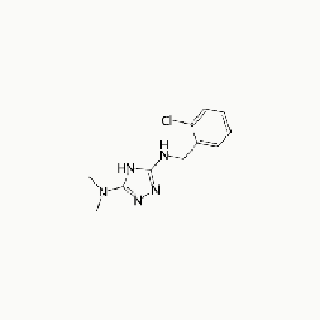 CN(C)c1nnc(NCc2ccccc2Cl)[nH]1